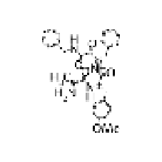 COc1ccc(C[C@H](NC(=O)[C@H](C)N)C(=O)N[C@@H](Cc2ccccc2)C(=O)C(=O)NCc2ccccc2)cc1